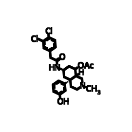 CC(=O)OC1C[C@H](NC(=O)Cc2ccc(Cl)c(Cl)c2)C[C@]2(c3cccc(O)c3)CCN(C)C[C@@H]12